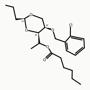 CCCCCC(=O)OC(C)[C@H]1O[C@@H](CCC)OC[C@H]1OCc1ccccc1Cl